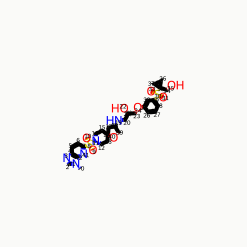 Cn1cnc2ccc(S(=O)(=O)N3CCC4(CC3)C[C@@H](NC[C@H](O)COc3cccc(S(=O)(=O)C5(CO)CC5)c3)CO4)nc21